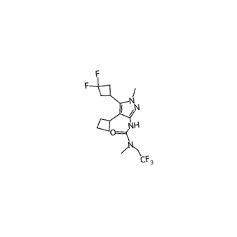 CN(CC(F)(F)F)C(=O)Nc1nn(C)c(C2CC(F)(F)C2)c1C1CCC1